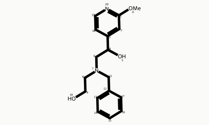 COc1cc(C(O)CN(CCO)Cc2ccccc2)ccn1